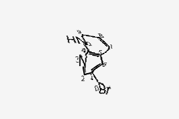 Brc1cnc2c(c1)C=CCN2